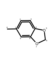 CC1=C=C=C2OCOC2=C1